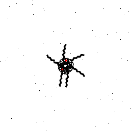 CCCCCCCCS(=O)(=O)c1c(S(=O)(=O)CCCCCCCC)c(S(=O)(=O)CCCCCCCC)c(S(=O)(=O)CCCCCCCC)c(S(=O)(=O)CCCCCCCC)c1S(=O)(=O)CCCCCCCC